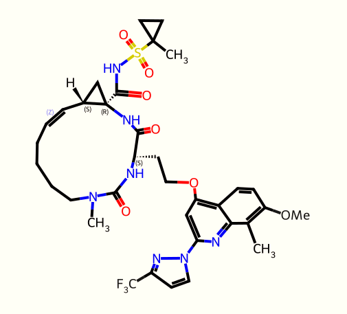 COc1ccc2c(OCC[C@@H]3NC(=O)N(C)CCCC/C=C\[C@@H]4C[C@@]4(C(=O)NS(=O)(=O)C4(C)CC4)NC3=O)cc(-n3ccc(C(F)(F)F)n3)nc2c1C